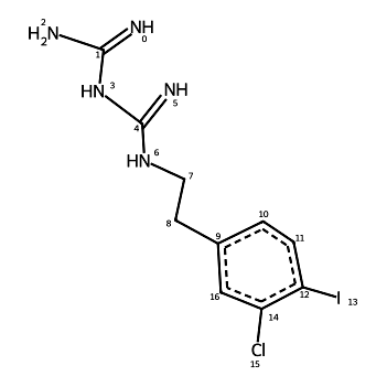 N=C(N)NC(=N)NCCc1ccc(I)c(Cl)c1